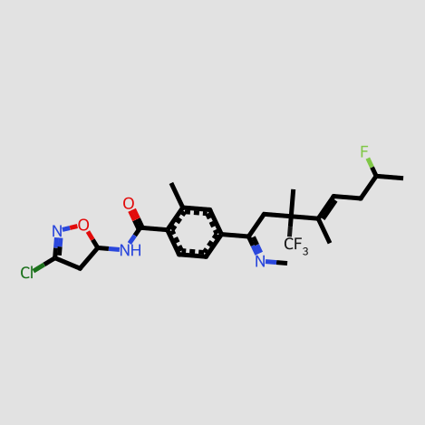 C/N=C(\CC(C)(/C(C)=C/CC(C)F)C(F)(F)F)c1ccc(C(=O)NC2CC(Cl)=NO2)c(C)c1